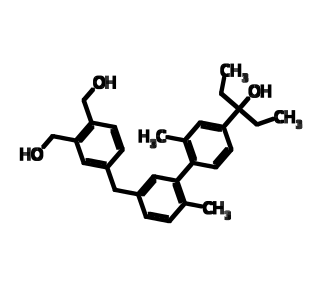 CCC(O)(CC)c1ccc(-c2cc(Cc3ccc(CO)c(CO)c3)ccc2C)c(C)c1